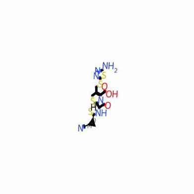 N#C[C@@H]1C[C@@H]1C(=S)NC1C(=O)N2C(C(=O)O)=C(CSc3nnc(N)s3)CS[C@@H]12